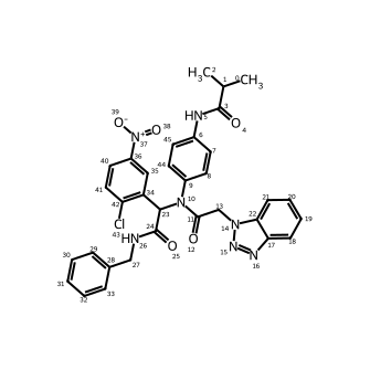 CC(C)C(=O)Nc1ccc(N(C(=O)Cn2nnc3ccccc32)C(C(=O)NCc2ccccc2)c2cc([N+](=O)[O-])ccc2Cl)cc1